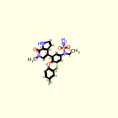 CCN(c1ccc(Oc2ccc(F)cc2F)c(-c2cn(C)c(=O)c3[nH]ccc23)c1)S(N)(=O)=O